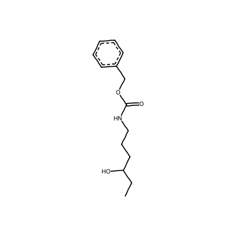 CCC(O)CCCNC(=O)OCc1ccccc1